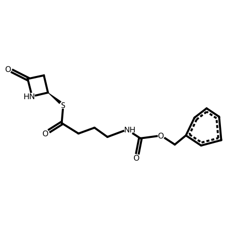 O=C1C[C@@H](SC(=O)CCCNC(=O)OCc2ccccc2)N1